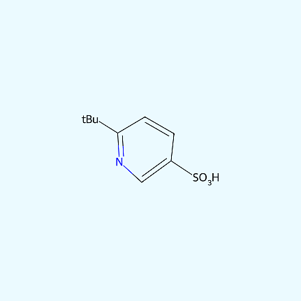 CC(C)(C)c1ccc(S(=O)(=O)O)cn1